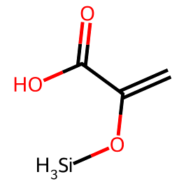 C=C(O[SiH3])C(=O)O